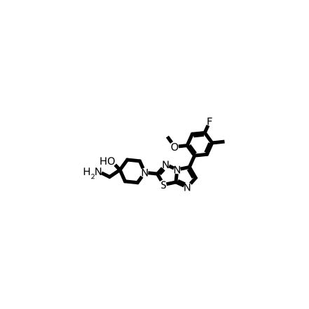 COc1cc(F)c(C)cc1-c1cnc2sc(N3CCC(O)(CN)CC3)nn12